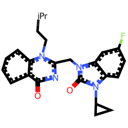 CC(C)CCn1c(Cn2c(=O)n(C3CC3)c3ccc(F)cc32)nc(=O)c2ccccc21